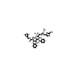 CC(C)c1nc(CN(C)CN[C@@H](C)C(=O)N[C@@H](Cc2ccccc2)[C@H](O)[C@@H](O)[C@H](Cc2ccccc2)NC(=O)OCc2cncs2)cs1